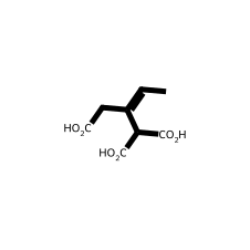 CC=C(CC(=O)O)C(C(=O)O)C(=O)O